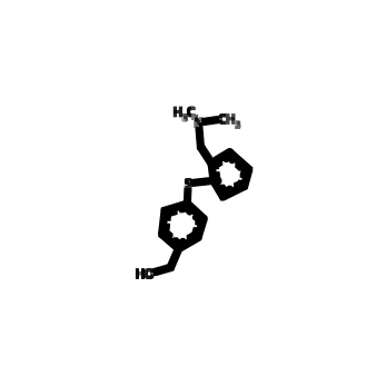 CN(C)Cc1ccccc1Sc1ccc(CO)cc1